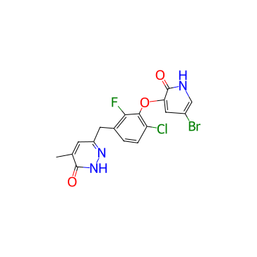 Cc1cc(Cc2ccc(Cl)c(Oc3cc(Br)c[nH]c3=O)c2F)n[nH]c1=O